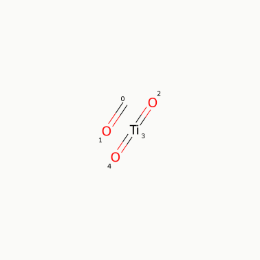 C=O.[O]=[Ti]=[O]